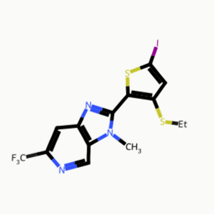 CCSc1cc(I)sc1-c1nc2cc(C(F)(F)F)ncc2n1C